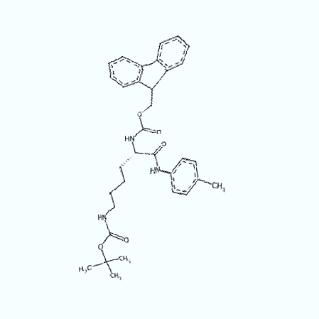 Cc1ccc(NC(=O)[C@H](CCCCNC(=O)OC(C)(C)C)NC(=O)OCC2c3ccccc3-c3ccccc32)cc1